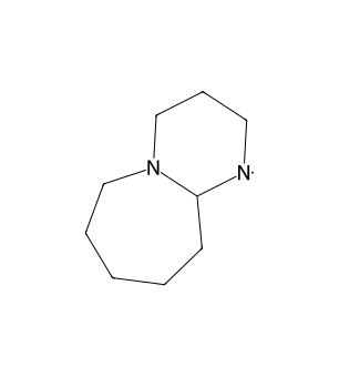 C1CCC2[N]CCCN2CC1